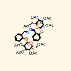 CC(=O)OC[C@@H]1O[C@@H](Oc2ccccc2C=NN=Cc2ccccc2O[C@H]2O[C@H](COC(C)=O)[C@H](OC(C)=O)[C@H](OC(C)=O)[C@H]2OC(C)=O)[C@@H](OC(C)=O)[C@H](OC(C)=O)[C@@H]1OC(C)=O